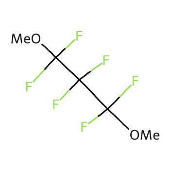 COC(F)(F)C(F)(F)C(F)(F)OC